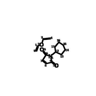 C=COC=C.O=C1C=CC(=O)N1C1CCCCC1